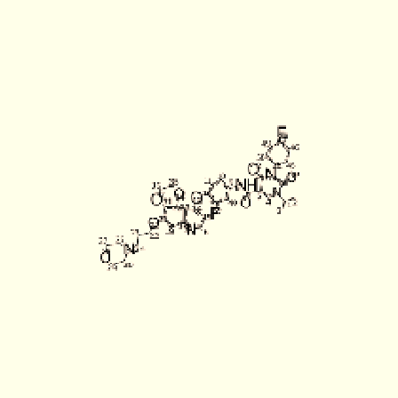 CC(C)n1cc(C(=O)Nc2ccc(Oc3ccnc4cc(OCCCN5CCOCC5)c5c(c34)OCCO5)c(F)c2)c(=O)n(-c2ccc(F)cc2)c1=O